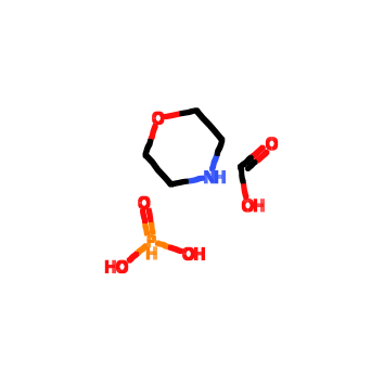 C1COCCN1.O=CO.O=[PH](O)O